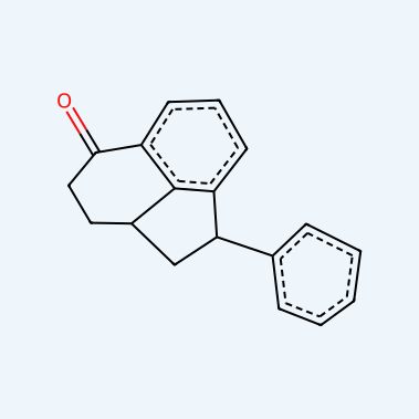 O=C1CCC2CC(c3ccccc3)c3cccc1c32